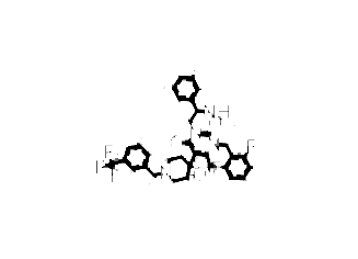 NC(Cn1c(=O)c2c(n(Cc3c(F)cccc3F)c1=O)COC21CCN(Cc2cccc(C(F)(F)F)c2)CC1)c1ccccc1